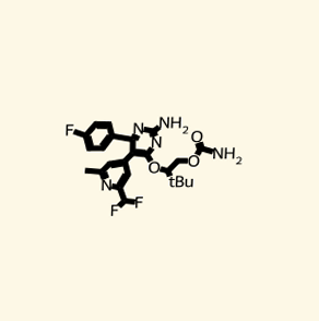 Cc1cc(-c2c(OC(COC(N)=O)C(C)(C)C)nc(N)nc2-c2ccc(F)cc2)cc(C(F)F)n1